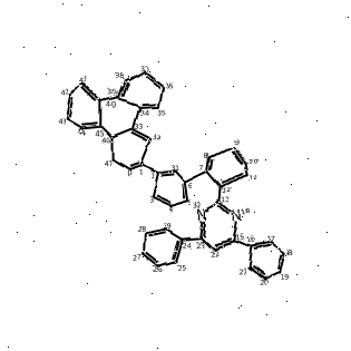 C1=C(c2cccc(-c3ccccc3-c3nc(-c4ccccc4)cc(-c4ccccc4)n3)c2)C=C2c3ccccc3-c3ccccc3C2C1